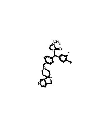 CN1CCN(C(c2ccc(CN3CCC4(CC3)OCc3ccncc34)cc2)c2ccc(F)c(F)c2)C1=O